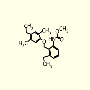 CCc1cc(C)c(OCc2c(CC)cccc2NC(=O)OC)cc1C